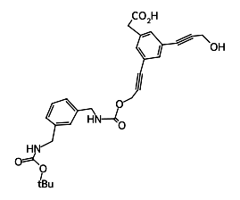 CC(C)(C)OC(=O)NCc1cccc(CNC(=O)OCC#Cc2cc(C#CCO)cc(CC(=O)O)c2)c1